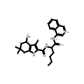 CCCCC(NC(=O)c1[nH]c2c(c1C)C(O)CC(C)(C)C2)C(=O)Nc1cncc2ccccc12